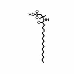 CCCCCCCCCCCCSCCC(=O)NC(C)(C)CS(=O)(=O)O